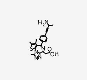 Cc1sc2c(c1C)C(c1ccc(C#CC(C)N)cc1)=NC(CC(=O)O)c1nnc(C)n1-2